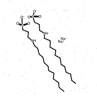 CCCCCCCCCCCCNCCCS(=O)(=O)[O-].CCCCCCCCCCCCNCCCS(=O)(=O)[O-].[Na+].[Na+]